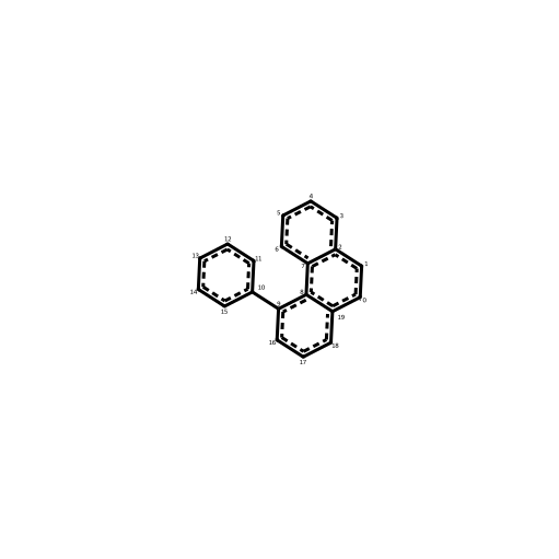 [c]1cc2ccccc2c2c(-c3ccccc3)cccc12